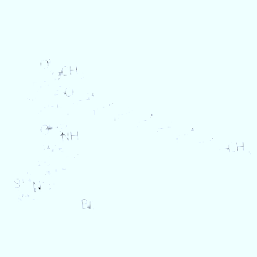 CCCCCCCCCCCCCCCCOc1c(CC(=O)Nc2ccc(C[n+]3ccsc3)cc2)cccc1C(C)=O.[Br-]